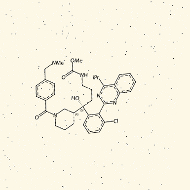 CNCc1ccc(C(=O)N2CCC[C@@H]([C@@](O)(CCCNC(=O)OC)c3cccc(Cl)c3-c3nc(C(C)C)c4ccccc4n3)C2)cc1